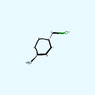 CCCC[C@H]1CC[C@H](CCl)CC1